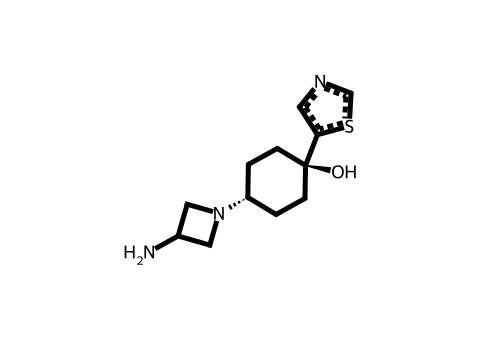 NC1CN([C@H]2CC[C@@](O)(c3cncs3)CC2)C1